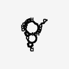 COCCO[C@H]1/C=C/C[C@@H]2CC[C@@H]2S(=O)(=O)NC(=O)c2ccc3c(c2)N(CCCCc2cc(Cl)ccc2CO3)C[C@@H]2CC[C@H]21